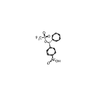 O=[N+](O)c1ccc([I+](OS(=O)(=O)C(F)(F)F)c2ccccc2)cc1